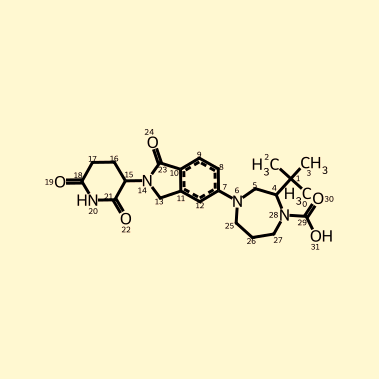 CC(C)(C)C1CN(c2ccc3c(c2)CN(C2CCC(=O)NC2=O)C3=O)CCCN1C(=O)O